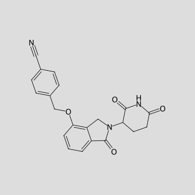 N#Cc1ccc(COc2cccc3c2CN(C2CCC(=O)NC2=O)C3=O)cc1